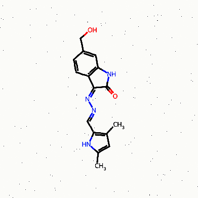 Cc1cc(C)c(/C=N/N=C2\C(=O)Nc3cc(CO)ccc32)[nH]1